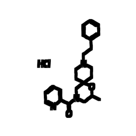 CC1CN(C(=O)c2ccccn2)CC2(CCN(CCc3ccccc3)CC2)O1.Cl